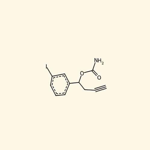 C#CCC(OC(N)=O)c1cccc(I)c1